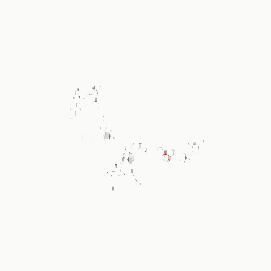 CC[C@]1(OC(=O)OCCSSC[C@@H](NC(C)=O)C(=O)N[C@@H](CCCCNC(=O)[C@@H](CSSCCOC(=O)O[C@]2(CC)C(=O)OCc3c2cc2n(c3=O)Cc3cc4ccccc4nc3-2)NC(C)=O)C(=O)N[C@@H](CCCCN)C(=O)N[C@@H](CCC(=O)O)C(N)=O)C(=O)OCc2c1cc1n(c2=O)Cc2cc3ccccc3nc2-1